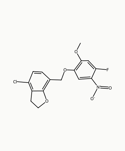 COc1cc(F)c([N+](=O)[O-])cc1OCc1ccc(Cl)c2c1OCC2